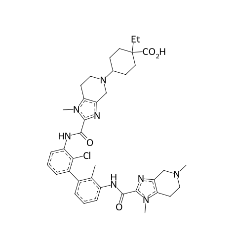 CCC1(C(=O)O)CCC(N2CCc3c(nc(C(=O)Nc4cccc(-c5cccc(NC(=O)c6nc7c(n6C)CCN(C)C7)c5C)c4Cl)n3C)C2)CC1